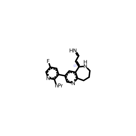 CCCc1ncc(F)cc1-c1cnc2c(c1)/C(=C/C=N)NCCC2